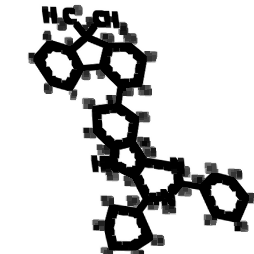 CC1(C)c2ccccc2-c2c(-c3ccc4[nH]c5c(-c6ccccc6)nc(-c6ccccc6)nc5c4c3)cccc21